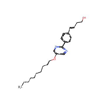 CCCCCCCCCCOc1cnc(-c2ccc(/C=C/CCO)cc2)nc1